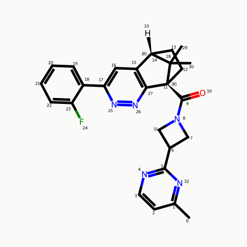 Cc1ccnc(C2CN(C(=O)[C@@]34CC[C@@H](c5cc(-c6ccccc6F)nnc53)C4(C)C)C2)n1